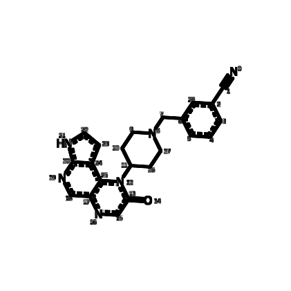 N#Cc1cccc(CN2CCC(n3c(=O)cnc4cnc5[nH]ccc5c43)CC2)c1